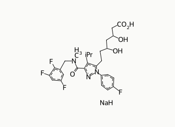 CC(C)c1c(C(=O)N(C)Cc2cc(F)cc(F)c2F)nn(-c2ccc(F)cc2)c1CCC(O)CC(O)CC(=O)O.[NaH]